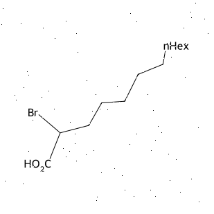 CCCCCCCCCCCC(Br)C(=O)O